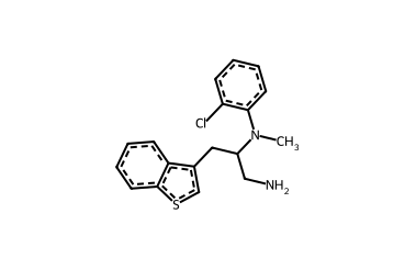 CN(c1ccccc1Cl)C(CN)Cc1csc2ccccc12